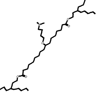 CCCCCC(CCCCC)CCOC(=O)CCCCCCCCC(CCCCCCC(=O)OCCC(CCCCC)CCCCC)OCCCCN(C)C